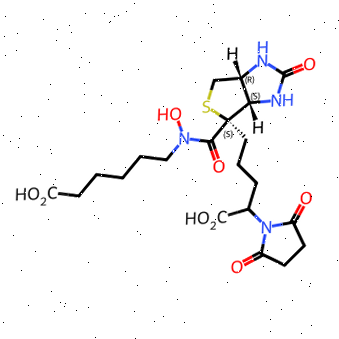 O=C(O)CCCCCN(O)C(=O)[C@@]1(CCCC(C(=O)O)N2C(=O)CCC2=O)SC[C@@H]2NC(=O)N[C@@H]21